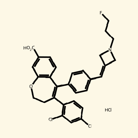 Cl.O=C(O)c1ccc2c(c1)OCCC(c1ccc(Cl)cc1Cl)=C2c1ccc(C=C2CN(CCCF)C2)cc1